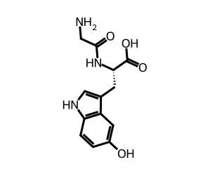 NCC(=O)N[C@@H](Cc1c[nH]c2ccc(O)cc12)C(=O)O